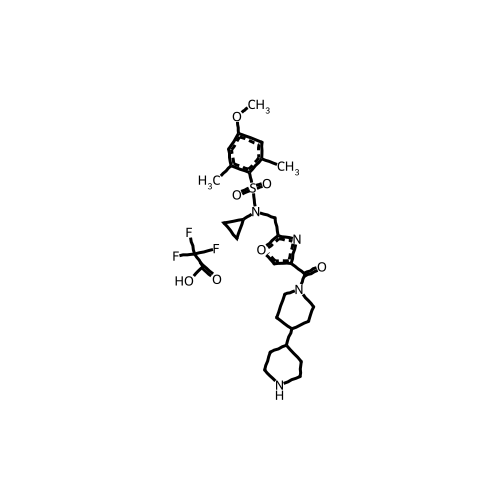 COc1cc(C)c(S(=O)(=O)N(Cc2nc(C(=O)N3CCC(C4CCNCC4)CC3)co2)C2CC2)c(C)c1.O=C(O)C(F)(F)F